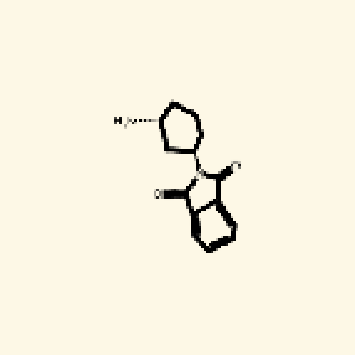 N[C@@H]1CCC[C@@H](N2C(=O)c3ccccc3C2=O)C1